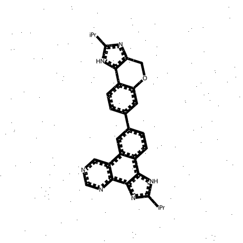 CC(C)c1nc2c([nH]1)-c1ccc(-c3ccc4c(c3)c3cncnc3c3nc(C(C)C)[nH]c43)cc1OC2